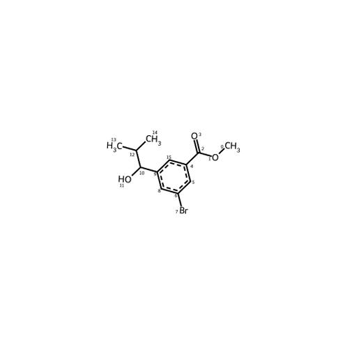 COC(=O)c1cc(Br)cc(C(O)C(C)C)c1